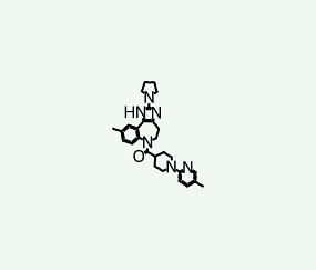 Cc1ccc(N2CCC(C(=O)N3CCc4nc(N5CCCC5)[nH]c4-c4cc(C)ccc43)CC2)nc1